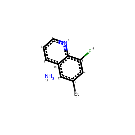 CCc1cc(F)c2ncccc2c1.N